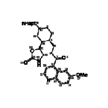 CCCCCCCN1CC[C@@H](CCC(=O)c2ccnc3ccc(OC)cc23)[C@@H](C2CNC(=O)O2)C1